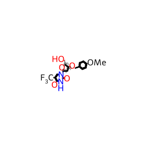 COc1ccc(CO[C@H]2C[C@H](n3cc(C(F)(F)F)c(=O)[nH]c3=O)O[C@@H]2CO)cc1